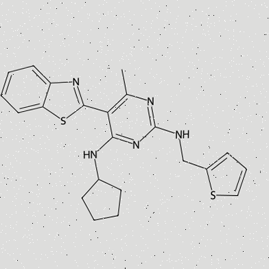 Cc1nc(NCc2cccs2)nc(NC2CCCC2)c1-c1nc2ccccc2s1